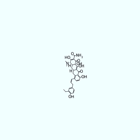 CCc1cc(C/C=C\c2ccc(O)c3c2C[C@H]2C[C@H]4[C@H](N(C)C)C(O)=C(C(N)=O)C(=O)[C@@]4(O)C(O)=C2C3=O)ccc1O